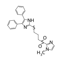 Cn1ccnc1S(=O)(=O)CCCSc1nc(-c2ccccc2)c(-c2ccccc2)[nH]1